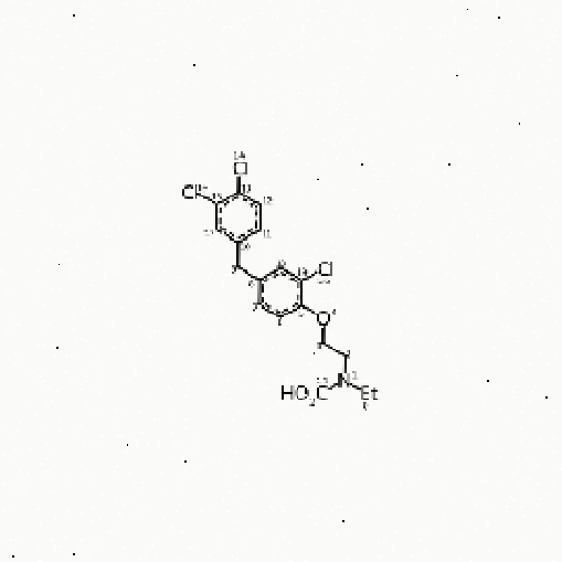 CCN(CCOc1ccc(Cc2ccc(Cl)c(Cl)c2)cc1Cl)C(=O)O